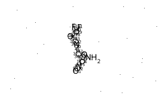 NC(=O)c1ccc(N2CCOCC2)cc1C1CCC(CCN2CCC(C(=O)c3ccc(F)c(F)c3)CC2)CC1